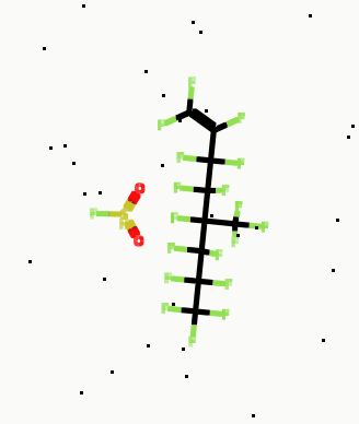 FC(F)=C(F)C(F)(F)C(F)(F)C(F)(C(F)(F)F)C(F)(F)C(F)(F)C(F)(F)F.O=[SH](=O)F